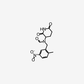 Cc1ccc([N+](=O)[O-])cc1CN(C=O)C1CCC(=O)NC1=O